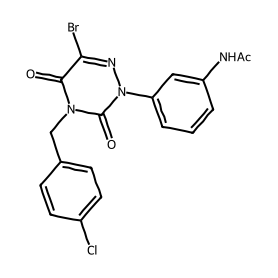 CC(=O)Nc1cccc(-n2nc(Br)c(=O)n(Cc3ccc(Cl)cc3)c2=O)c1